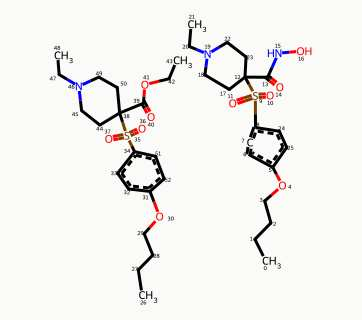 CCCCOc1ccc(S(=O)(=O)C2(C(=O)NO)CCN(CC)CC2)cc1.CCCCOc1ccc(S(=O)(=O)C2(C(=O)OCC)CCN(CC)CC2)cc1